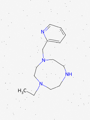 CCN1CCNCCN(Cc2ccccn2)CC1